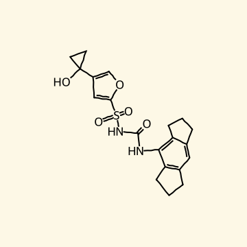 O=C(Nc1c2c(cc3c1CCC3)CCC2)NS(=O)(=O)c1cc(C2(O)CC2)co1